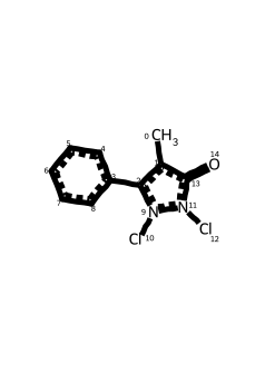 Cc1c(-c2ccccc2)n(Cl)n(Cl)c1=O